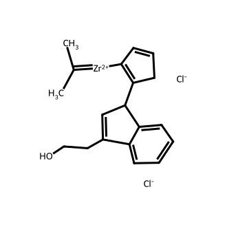 C[C](C)=[Zr+2][C]1=C(C2C=C(CCO)c3ccccc32)CC=C1.[Cl-].[Cl-]